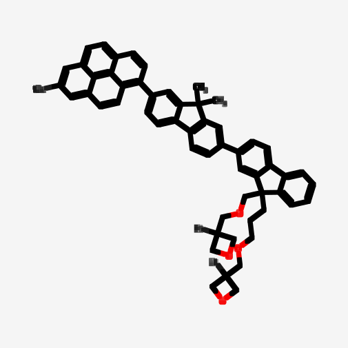 CCC1(COCCCC2(COCC3(CC)COC3)c3ccccc3-c3ccc(-c4ccc5c(c4)C(C)(C)c4cc(-c6ccc7ccc8cc(C(C)(C)C)cc9ccc6c7c89)ccc4-5)cc32)COC1